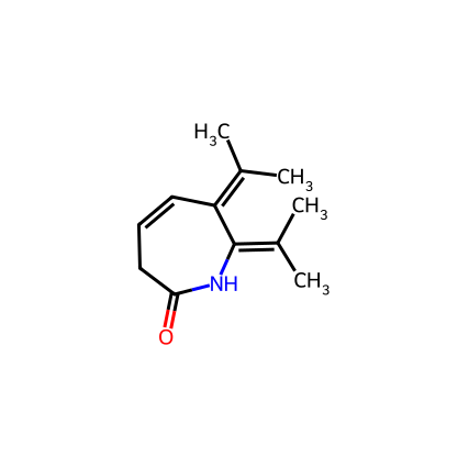 CC(C)=C1C=CCC(=O)NC1=C(C)C